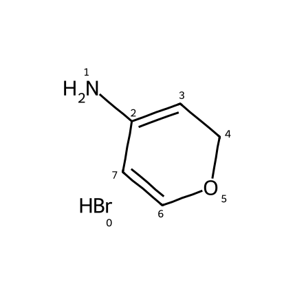 Br.NC1=CCOC=C1